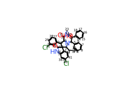 CC(C)CC1N(C(c2ccccc2)C(O)c2ccccc2)C(C(=O)N(C)C)C(c2cccc(Cl)c2)C12C(=O)Nc1cc(Cl)ccc12